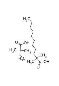 CCC(C)(C)C(=O)O.CCCCCCCCCC(C)(C)C(=O)O